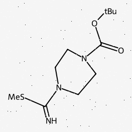 CSC(=N)N1CCN(C(=O)OC(C)(C)C)CC1